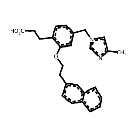 Cc1cn(Cc2ccc(CCC(=O)O)c(OCCc3ccc4ccccc4c3)c2)cn1